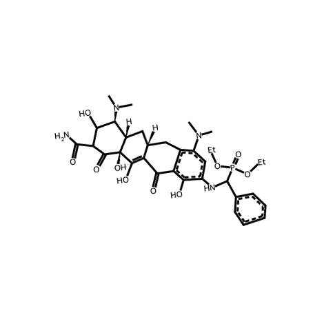 CCOP(=O)(OCC)C(Nc1cc(N(C)C)c2c(c1O)C(=O)C1=C(O)[C@]3(O)C(=O)C(C(N)=O)C(O)[C@@H](N(C)C)[C@@H]3C[C@@H]1C2)c1ccccc1